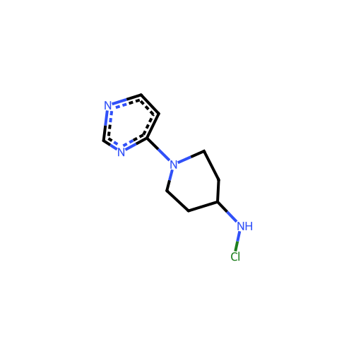 ClNC1CCN(c2ccncn2)CC1